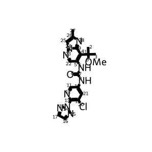 COC(C)(C)c1c(NC(=O)Nc2cnc(-n3nccn3)c(Cl)c2)cnn2cc(C)nc12